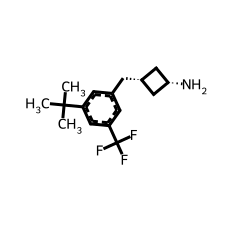 CC(C)(C)c1cc(C[C@H]2C[C@@H](N)C2)cc(C(F)(F)F)c1